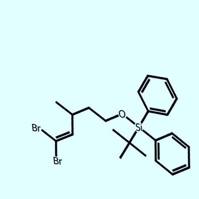 CC(C=C(Br)Br)CCO[Si](c1ccccc1)(c1ccccc1)C(C)(C)C